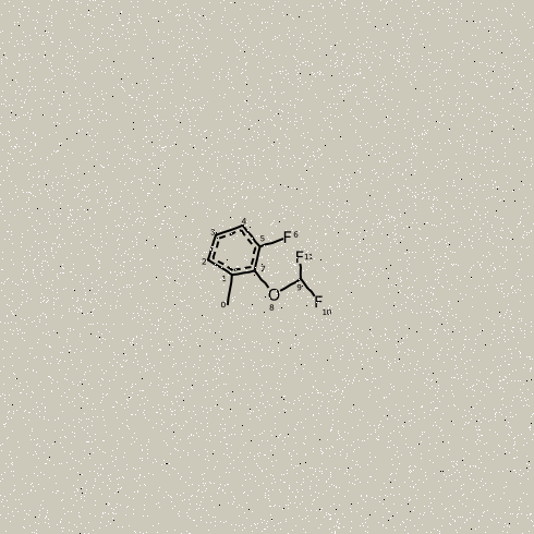 Cc1cccc(F)c1OC(F)F